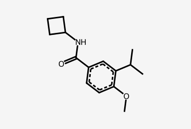 COc1ccc(C(=O)NC2CCC2)cc1C(C)C